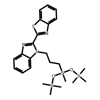 C[Si](C)(C)O[Si](C)(CCCn1c(-c2nc3ccccc3s2)nc2ccccc21)O[Si](C)(C)C